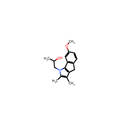 COc1ccc2c(c1)-c1c(c(C)c(C)n1CC(C)O)C2